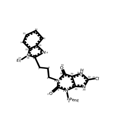 CCCCCn1c(=O)n(CCCc2nc3ccccc3n2CC)c(=O)c2[nH]c(Cl)nc21